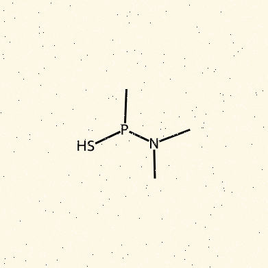 CN(C)P(C)S